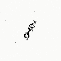 CN1CCN2C(C1)C2c1cn2cc(Br)sc2n1